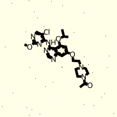 COc1ncc(Cl)c(Nc2ncnc3cc(OCCN4CCN(C(C)=O)CC4)cc(OC(C)C)c23)n1